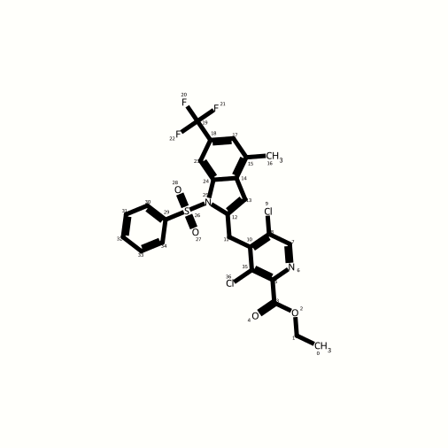 CCOC(=O)c1ncc(Cl)c(Cc2cc3c(C)cc(C(F)(F)F)cc3n2S(=O)(=O)c2ccccc2)c1Cl